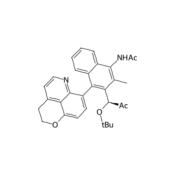 CC(=O)Nc1c(C)c([C@H](OC(C)(C)C)C(C)=O)c(-c2ccc3c4c(ccnc24)CCO3)c2ccccc12